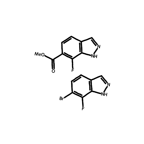 COC(=O)c1ccc2cn[nH]c2c1F.Fc1c(Br)ccc2cn[nH]c12